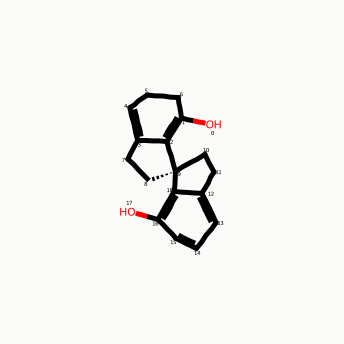 OC1=C2C(=CCC1)CC[C@@]21CCc2cccc(O)c21